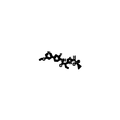 CCOc1cncc(-c2ccc(NC(=O)C(CC)c3csc(NS(=O)(=O)C4CC4)n3)c(F)c2)c1